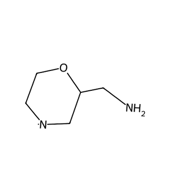 NCC1C[N]CCO1